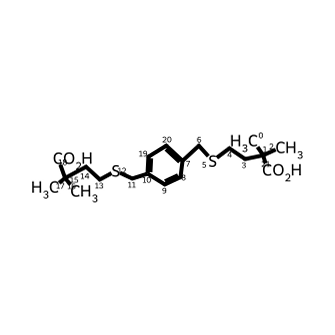 CC(C)(CCSCc1ccc(CSCCC(C)(C)C(=O)O)cc1)C(=O)O